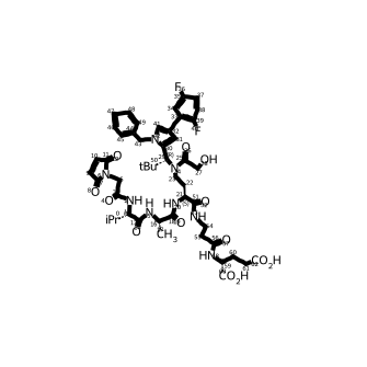 CC(C)[C@H](NC(=O)CN1C(=O)C=CC1=O)C(=O)N[C@@H](C)C(=O)N[C@@H](CCN(C(=O)CO)[C@@H](c1cc(-c2cc(F)ccc2F)cn1Cc1ccccc1)C(C)(C)C)C(=O)NCCC(=O)N[C@H](CCC(=O)O)C(=O)O